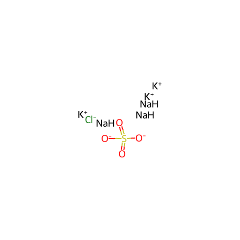 O=S(=O)([O-])[O-].[Cl-].[K+].[K+].[K+].[NaH].[NaH].[NaH]